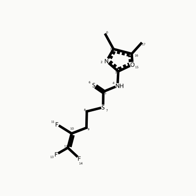 Cc1nc(NC(=S)SCCC(F)=C(F)F)oc1C